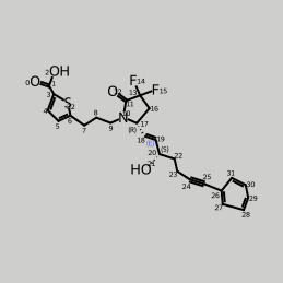 O=C(O)c1ccc(CCCN2C(=O)C(F)(F)C[C@@H]2/C=C/[C@@H](O)CCC#Cc2ccccc2)s1